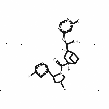 CC(Oc1cc(Cl)ncn1)[C@@H]1C[C@H](C(=O)N2CC(F)CC2c2cccc(F)c2)C2CC1C2